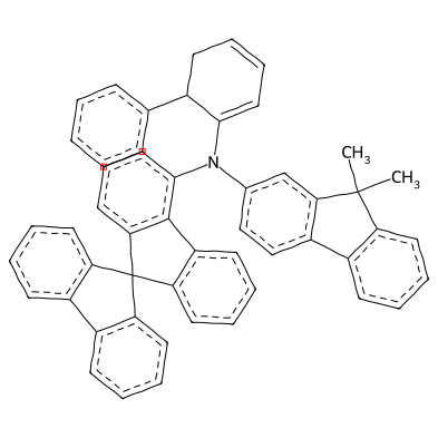 CC1(C)c2ccccc2-c2ccc(N(C3=CC=CCC3c3ccccc3)c3cccc4c3-c3ccccc3C43c4ccccc4-c4ccccc43)cc21